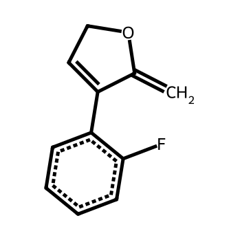 C=C1OCC=C1c1ccccc1F